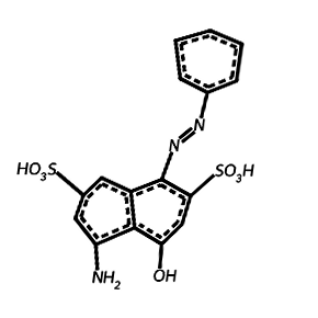 Nc1cc(S(=O)(=O)O)cc2c(N=Nc3ccccc3)c(S(=O)(=O)O)cc(O)c12